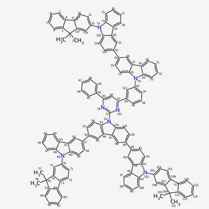 CC1(C)c2ccccc2-c2ccc(-n3c4ccccc4c4cc(-c5ccc6c(c5)c5ccccc5n6-c5cccc(-c6cc(-c7ccccc7)nc(-n7c8ccc(-c9ccc%10c(c9)c9ccccc9n%10-c9ccc%10c(c9)C(C)(C)c9ccccc9-%10)cc8c8cc(-c9ccc%10c(c9)c9ccccc9n%10-c9ccc%10c(c9)C(C)(C)c9ccccc9-%10)ccc87)n6)c5)ccc43)cc21